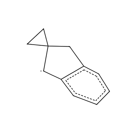 [CH]1c2ccccc2CC12CC2